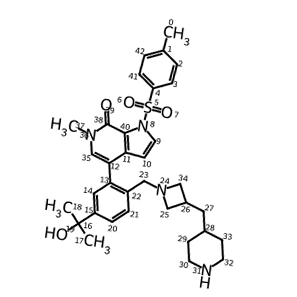 Cc1ccc(S(=O)(=O)n2ccc3c(-c4cc(C(C)(C)O)ccc4CN4CC(CC5CCNCC5)C4)cn(C)c(=O)c32)cc1